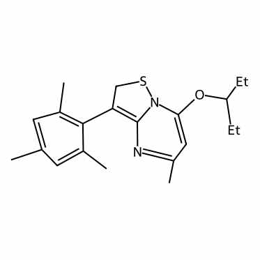 CCC(CC)OC1=CC(C)=NC2=C(c3c(C)cc(C)cc3C)CSN12